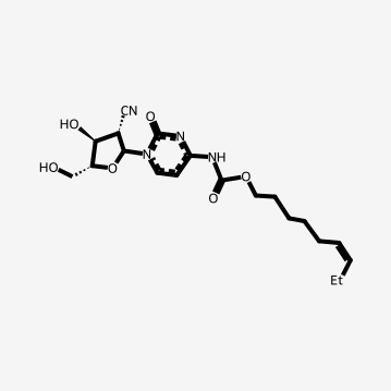 CC/C=C\CCCCCOC(=O)Nc1ccn(C2O[C@H](CO)[C@@H](O)[C@@H]2C#N)c(=O)n1